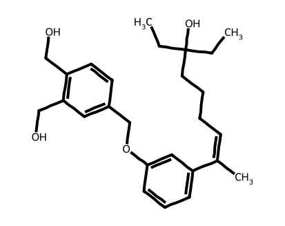 CCC(O)(CC)CCC/C=C(/C)c1cccc(OCc2ccc(CO)c(CO)c2)c1